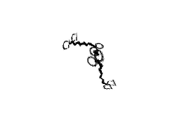 O=C(CCCCCCC(Cl)Cl)OOC(=O)CCCCCCC(Cl)Cl